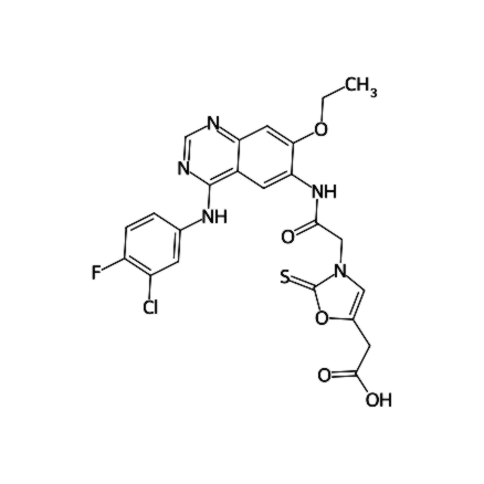 CCOc1cc2ncnc(Nc3ccc(F)c(Cl)c3)c2cc1NC(=O)Cn1cc(CC(=O)O)oc1=S